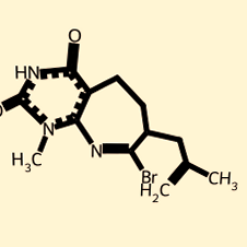 C=C(C)CC1CCc2c(n(C)c(=O)[nH]c2=O)N=C1Br